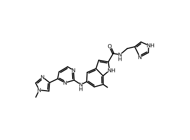 Cc1cc(Nc2nccc(-c3cn(C)cn3)n2)cc2cc(C(=O)NCc3c[nH]cn3)[nH]c12